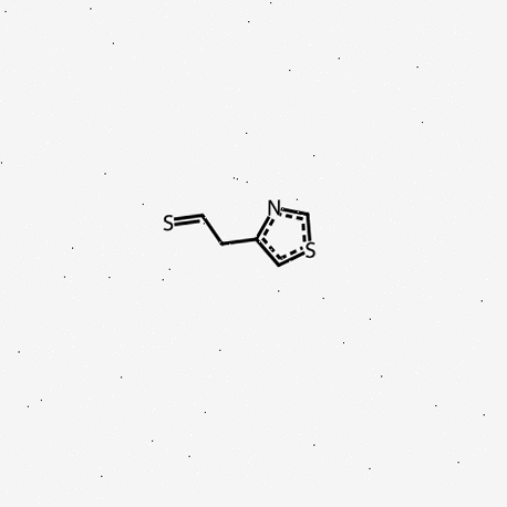 S=CCc1cscn1